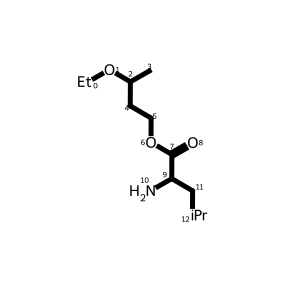 CCOC(C)CCOC(=O)C(N)CC(C)C